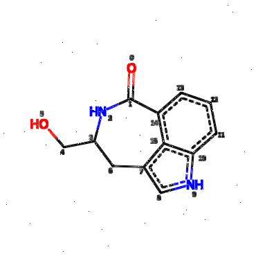 O=C1NC(CO)Cc2c[nH]c3cccc1c23